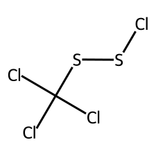 ClSSC(Cl)(Cl)Cl